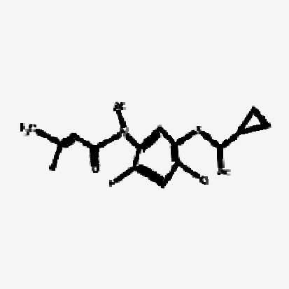 CC(=O)C(Sc1cc(N(C(C)=O)C(=O)/C=C(\C)C(F)(F)F)c(F)cc1Cl)C1CC1